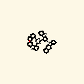 c1ccc2cc3c(cc2c1)c1ccccc1n3-c1cc(-c2nc(-c3cccc4ccccc34)nc(-c3cccc4sc5ccccc5c34)n2)c2c(c1)oc1ccccc12